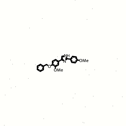 COc1ccc(-c2nc(-c3ccc(OCc4ccccc4)c(OC)c3)c[nH]2)cc1